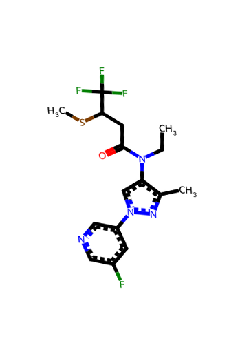 CCN(C(=O)CC(SC)C(F)(F)F)c1cn(-c2cncc(F)c2)nc1C